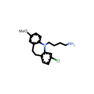 COc1ccc2c(c1)CCc1ccc(Cl)cc1N2CCCCN